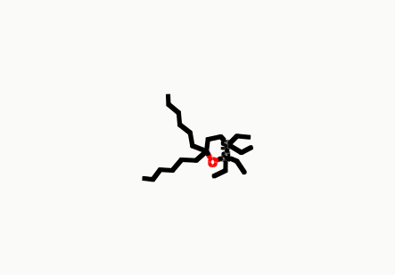 CCCCCCC1(CCCCCC)CC[Si](CC)(CC)[Si](CC)(CC)O1